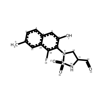 Cc1ccc2cc(O)c(N3CC(C=O)NS3(=O)=O)c(F)c2c1